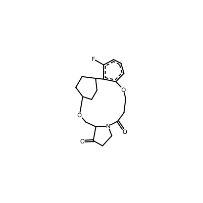 O=C1CCN2C(=O)CCOc3cccc(F)c3C3CCC(CC3)OCC12